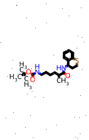 CC(CCCCNC(=O)OC(C)(C)C)C(=O)NC1CCSc2ccccc21